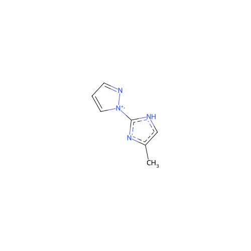 Cc1c[nH]c([N+]2C=CC=N2)n1